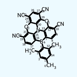 Cc1cc(C)c(B2c3ccc(C#N)c4c3N3c5c2ccc(C#N)c5Oc2c(C#N)cc(C#N)c(c23)O4)c(C)c1